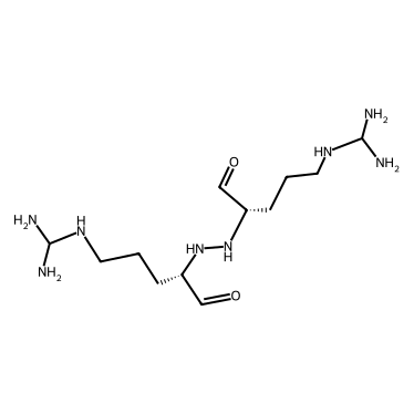 NC(N)NCCC[C@@H](C=O)NN[C@H](C=O)CCCNC(N)N